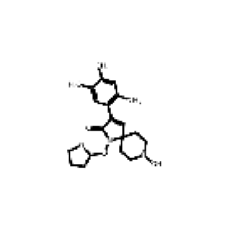 Cc1cc(C)c(C2=CC3(CCN(O)CC3)N(OC3CCCO3)C2=O)cc1C